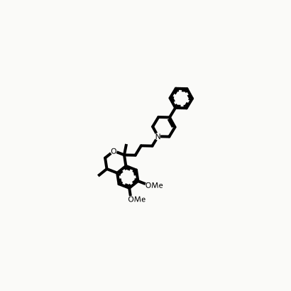 COc1cc2c(cc1OC)C(C)(CCCN1CC=C(c3ccccc3)CC1)OCC2C